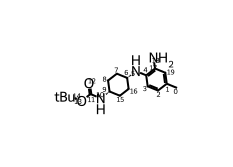 Cc1ccc(N[C@H]2CC[C@@H](NC(=O)OC(C)(C)C)CC2)c(N)c1